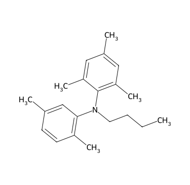 CCCCN(c1cc(C)ccc1C)c1c(C)cc(C)cc1C